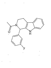 CC(=O)N1CCc2c([nH]c3ccccc23)C1c1cccc(F)c1